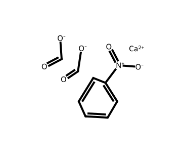 O=C[O-].O=C[O-].O=[N+]([O-])c1ccccc1.[Ca+2]